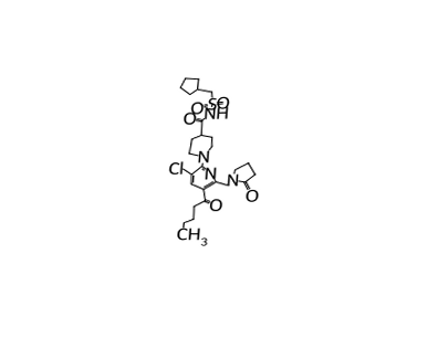 CCCCC(=O)c1cc(Cl)c(N2CCC(C(=O)NS(=O)(=O)CC3CCCC3)CC2)nc1CN1CCCC1=O